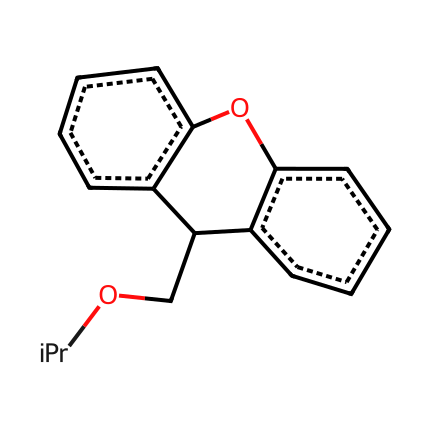 CC(C)OCC1c2ccccc2Oc2ccccc21